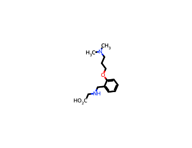 CN(C)CCCOc1ccccc1CNCC(=O)O